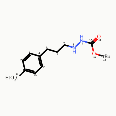 CCOC(=O)c1ccc(CCCNNC(=O)OC(C)(C)C)cc1